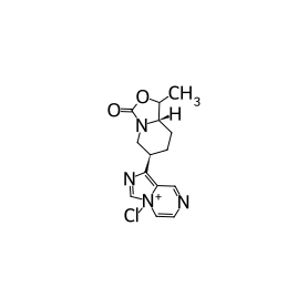 CC1OC(=O)N2C[C@H](C3=C4C=NC=C[N+]4(Cl)C=N3)CC[C@@H]12